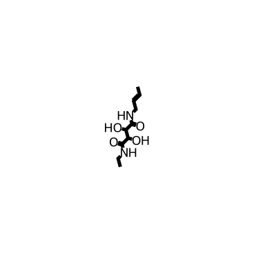 C/C=C/CNC(=O)C(O)C(O)C(=O)NCC